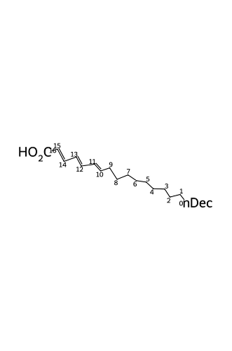 CCCCCCCCCCCCCCCCCCC/C=C/C=C/C=C/C(=O)O